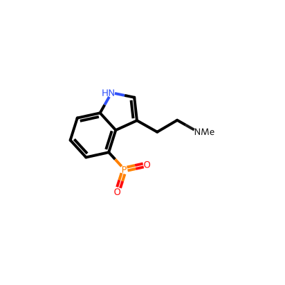 CNCCc1c[nH]c2cccc(P(=O)=O)c12